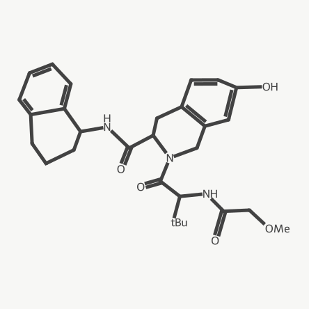 COCC(=O)NC(C(=O)N1Cc2cc(O)ccc2CC1C(=O)NC1CCCc2ccccc21)C(C)(C)C